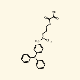 CN(C)CCCOC(=O)C(=O)O.c1ccc(P(c2ccccc2)c2ccccc2)cc1